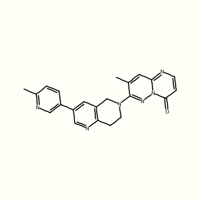 Cc1ccc(-c2cnc3c(c2)CN(c2nn4c(=O)ccnc4cc2C)CC3)cn1